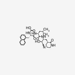 CC(C)C[C@H](NC(=O)[C@H](Cc1cccc2ccccc12)NC(=O)O)C(=O)N[C@@H](C[C@@H]1CCCNC1=O)[C@H](O)C#N